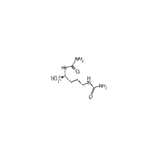 NC(=O)NCCC[C@H](NC(N)=O)C(=O)O